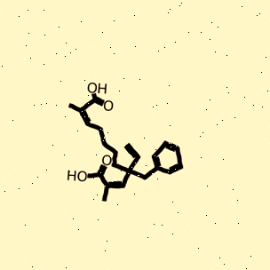 C=CC(C=C(C)C(=O)O)(CCCCC=C(C)C(=O)O)Cc1ccccc1